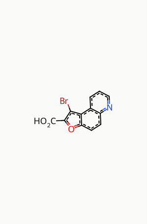 O=C(O)c1oc2ccc3ncccc3c2c1Br